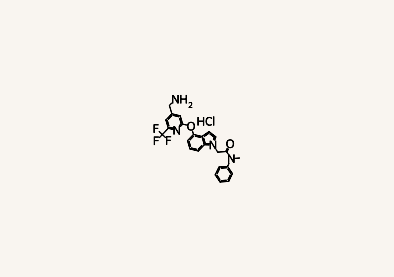 CN(C(=O)Cn1ccc2c(Oc3cc(CN)cc(C(F)(F)F)n3)cccc21)c1ccccc1.Cl